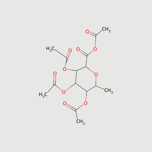 CC(=O)OC(=O)C1OC(C)C(OC(C)=O)C(OC(C)=O)C1OC(C)=O